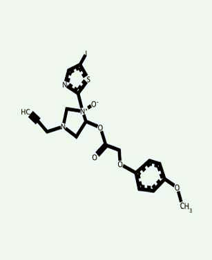 C#CCN1CC(OC(=O)COc2ccc(OC)cc2)[N+]([O-])(c2ncc(I)s2)C1